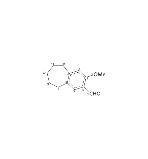 COc1cc2c(cc1C=O)CCCCC2